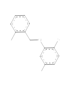 Cc1ccccc1CNc1cc(F)ccc1[N+](=O)[O-]